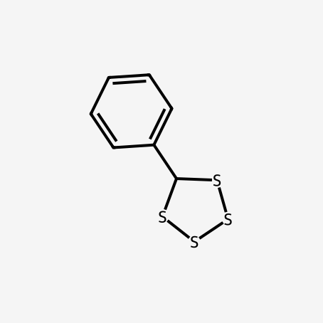 c1ccc(C2SSSS2)cc1